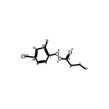 CCCC(=O)OOc1ccc(Cl)cc1C